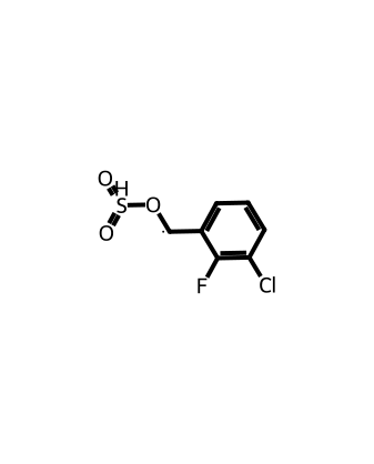 O=[SH](=O)O[CH]c1cccc(Cl)c1F